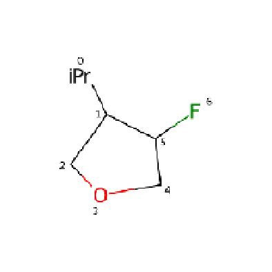 CC(C)C1COCC1F